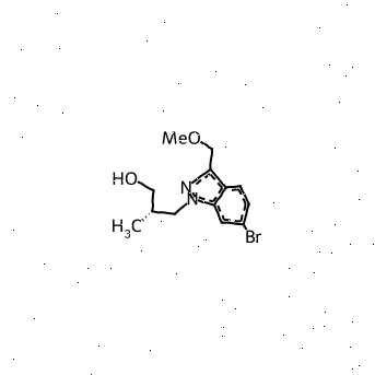 COCc1nn(C[C@H](C)CO)c2cc(Br)ccc12